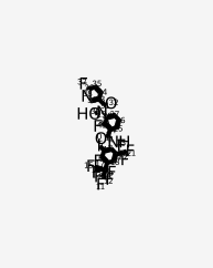 O=C(Nc1c(I)cc(C(F)(C(F)(F)F)C(F)(F)F)cc1C(F)(F)F)c1cccc(N(O)C(=O)c2ccc(F)nc2)c1F